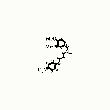 COc1ccc(CN(C)CCCSc2ccc([N+](=O)[O-])cc2)cc1OC